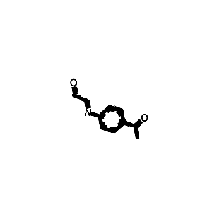 CC(=O)c1ccc(N=CC=O)cc1